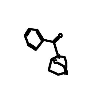 O=C(c1ccccc1)N1CCN2CCC1CC2